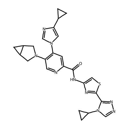 O=C(Nc1csc(-c2nncn2C2CC2)n1)c1cc(-n2cnc(C3CC3)c2)c(N2CC3CC3C2)cn1